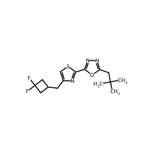 CC(C)(C)Cc1nnc(-c2nc(CC3CC(F)(F)C3)cs2)o1